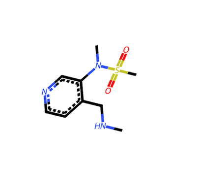 CNCc1ccncc1N(C)S(C)(=O)=O